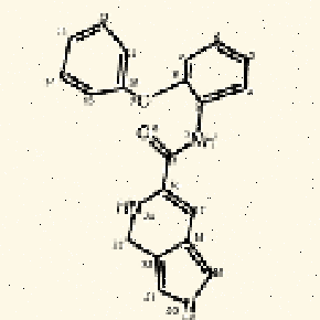 O=C(Nc1ccccc1Oc1ccccc1)C1=Cc2c[nH]cc2CN1